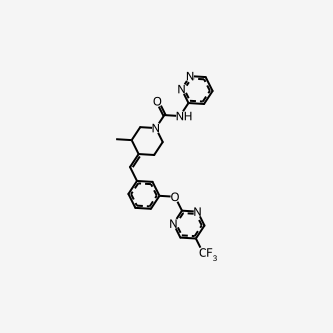 CC1CN(C(=O)Nc2cccnn2)CCC1=Cc1cccc(Oc2ncc(C(F)(F)F)cn2)c1